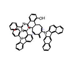 C=C1/C=C\C(C)C(c2c(O)cccc2-c2nc(-c3ccccc3)nc(-c3cccc4c5ccccc5n(-c5ccccc5)c34)n2)C/C=C\1n1c2cc3ccccc3cc2c2c3ccccc3ccc21